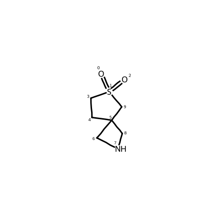 O=S1(=O)CCC2(CNC2)C1